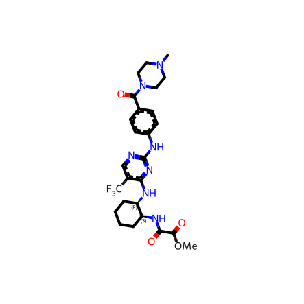 COC(=O)C(=O)N[C@H]1CCCC[C@H]1Nc1nc(Nc2ccc(C(=O)N3CCN(C)CC3)cc2)ncc1C(F)(F)F